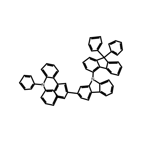 c1ccc(N(c2ccccc2)c2ccccc2-c2cccc(-c3ccc4c5ccccc5n(-c5cccc6c5-c5ccccc5C6(c5ccccc5)c5ccccc5)c4c3)c2)cc1